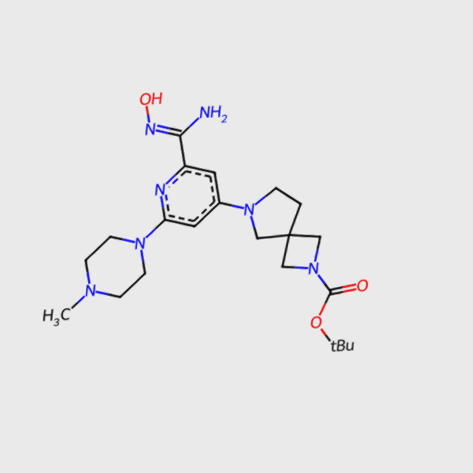 CN1CCN(c2cc(N3CCC4(CN(C(=O)OC(C)(C)C)C4)C3)cc(/C(N)=N/O)n2)CC1